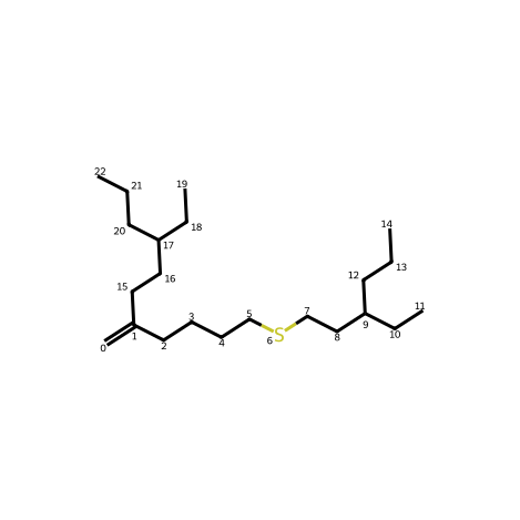 C=C(CCCCSCCC(CC)CCC)CCC(CC)CCC